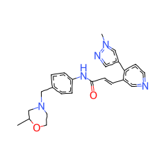 CC1CN(Cc2ccc(NC(=O)C=Cc3cnccc3-c3cnn(C)c3)cc2)CCO1